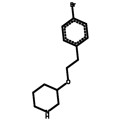 Brc1ccc(CCOC2CCCNC2)cc1